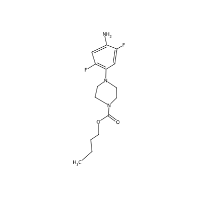 CCCCOC(=O)N1CCN(c2cc(F)c(N)cc2F)CC1